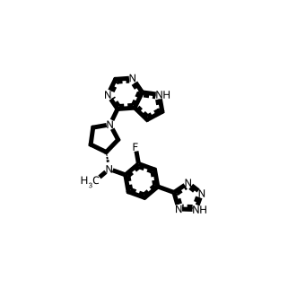 CN(c1ccc(-c2nn[nH]n2)cc1F)[C@@H]1CCN(c2ncnc3[nH]ccc23)C1